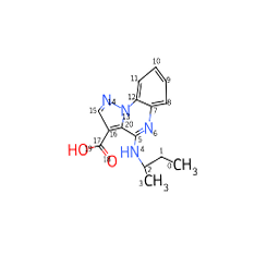 CCC(C)Nc1nc2ccccc2n2ncc(C(=O)O)c12